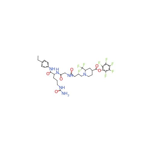 CCc1ccc(NC(=O)C(CCCNC(N)=O)NC(=O)CNC(=O)CCCN2CCC(C(=O)Oc3c(F)c(F)c(F)c(F)c3F)CC2C(F)(F)F)cc1